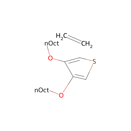 C=C.CCCCCCCCOc1cscc1OCCCCCCCC